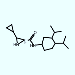 CC(C)C1CCC(NC(=O)[C@@H]2NC2C2CC2)CC1C(C)C